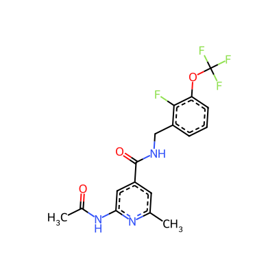 CC(=O)Nc1cc(C(=O)NCc2cccc(OC(F)(F)F)c2F)cc(C)n1